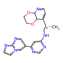 C[C@H](CNc1cc(-c2cnc3nccn3c2)ncn1)C1=CC=NC2OCCOC12